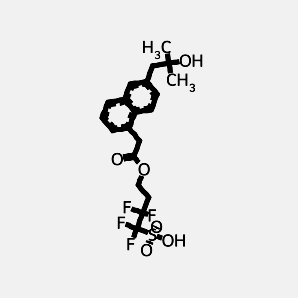 CC(C)(O)Cc1ccc2c(CC(=O)OCCC(F)(F)C(F)(F)S(=O)(=O)O)cccc2c1